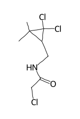 CC1(C)C(CNC(=O)CCl)C1(Cl)Cl